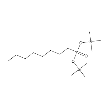 CCCCCCCCP(=O)(O[Si](C)(C)C)O[Si](C)(C)C